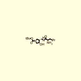 CC(C)C[C@H](N)C(=O)NC[C@H]1CN(C(=O)OC(C)(C)C)C[C@H]1O